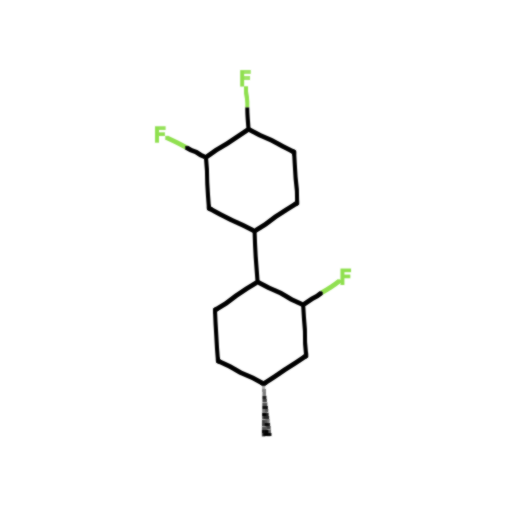 C[C@@H]1CCC(C2CCC(F)C(F)C2)C(F)C1